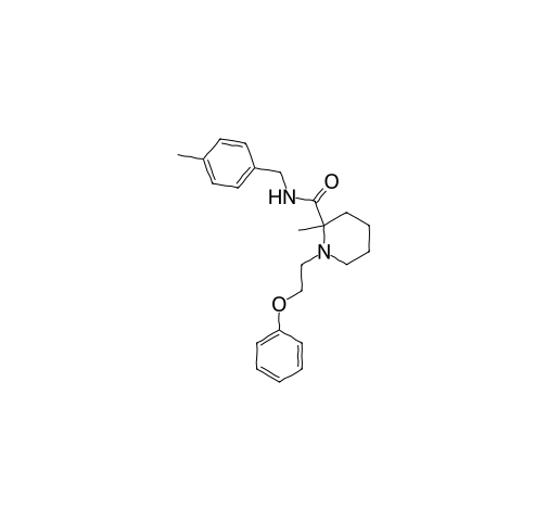 Cc1ccc(CNC(=O)C2(C)CCCCN2CCOc2ccccc2)cc1